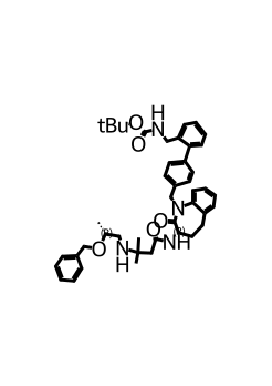 C[C@H](CNC(C)(C)CC(=O)N[C@@H]1CCc2ccccc2N(Cc2ccc(-c3ccccc3CNC(=O)OC(C)(C)C)cc2)C1=O)OCc1ccccc1